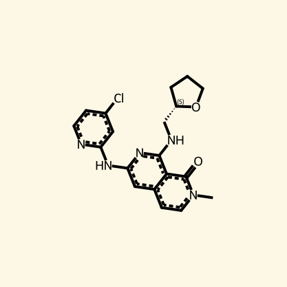 Cn1ccc2cc(Nc3cc(Cl)ccn3)nc(NC[C@@H]3CCCO3)c2c1=O